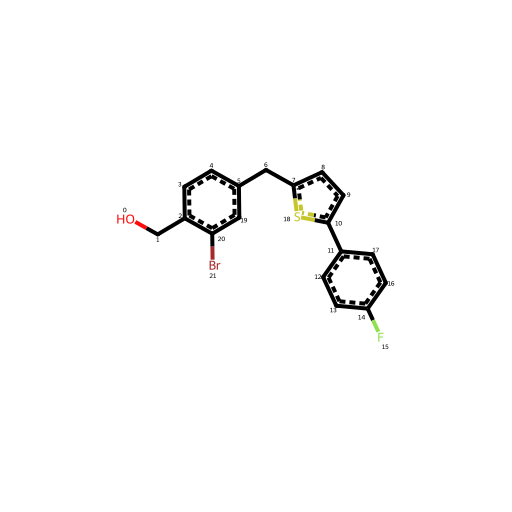 OCc1ccc(Cc2ccc(-c3ccc(F)cc3)s2)cc1Br